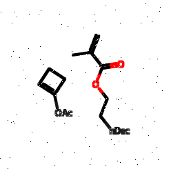 C=C(C)C(=O)OCCCCCCCCCCCC.CC(=O)OC1=CCC1